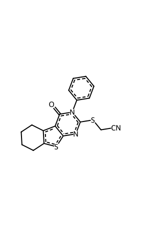 N#CCSc1nc2sc3c(c2c(=O)n1-c1ccccc1)CCCC3